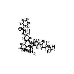 CC(=O)Nc1ccc(-c2cnc3c(c2)nc(-c2cccnc2N)n3-c2ccc(CNC(=O)c3ccccc3)cc2)cc1